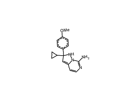 COc1ccc(C2(C3CC3)C=C3C=CN=C(N)N3N2)cc1